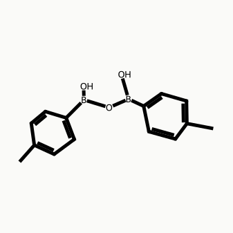 Cc1ccc(B(O)OB(O)c2ccc(C)cc2)cc1